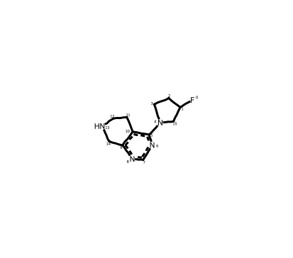 FC1CCN(c2ncnc3c2CCNC3)C1